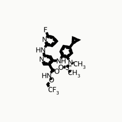 CN(c1cc(C2CC2)ccc1Nc1cc(Nc2cccc(F)n2)ncc1C(=O)NOCC(F)(F)F)[S+](C)[O-]